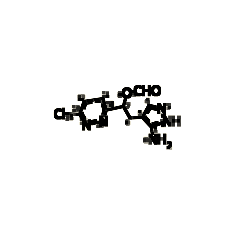 Nc1[nH]ncc1CC(OC=O)c1ccc(Cl)nn1